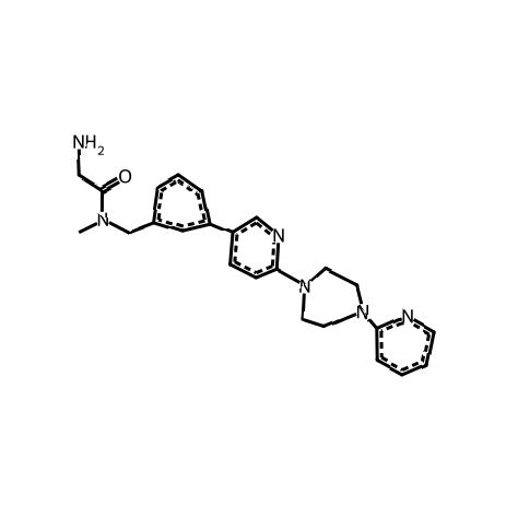 CN(Cc1cccc(-c2ccc(N3CCN(c4ccccn4)CC3)nc2)c1)C(=O)CN